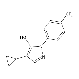 Oc1c(C2CC2)cnn1-c1ccc(C(F)(F)F)cc1